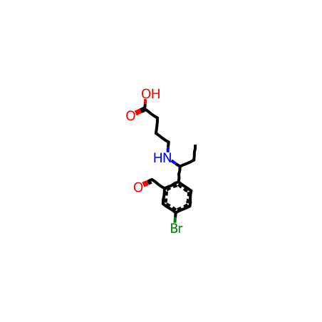 CCC(NCCCC(=O)O)c1ccc(Br)cc1C=O